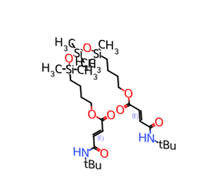 CC(C)(C)NC(=O)/C=C/C(=O)OCCCC[Si](C)(C)O[Si](C)(C)O[Si](C)(C)CCCCOC(=O)/C=C/C(=O)NC(C)(C)C